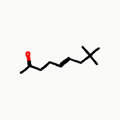 CC(=O)CCC=CCC(C)(C)C